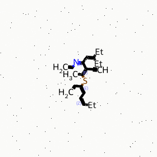 C#CC(/C(C=C(CC)CC)=N\C=C)=C(/C)S/C(C=C)=C/C=C\CC